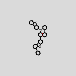 c1ccc(-c2ccccc2N(c2ccc(-c3ccc4oc5c(-c6ccccc6)cccc5c4c3)cc2)c2ccc3c(c2)sc2ccccc23)cc1